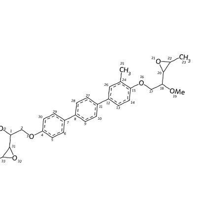 COC(COc1ccc(-c2ccc(-c3ccc(OCC(OC)C4OC4C)c(C)c3)cc2)cc1)C1OC1C